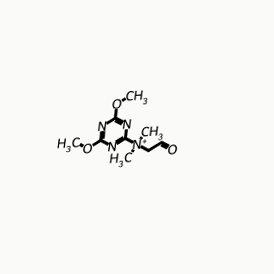 COc1nc(OC)nc([N+](C)(C)CC=O)n1